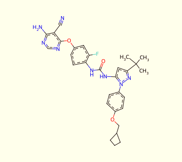 CC(C)(C)c1cc(NC(=O)Nc2ccc(Oc3ncnc(N)c3C#N)cc2F)n(-c2ccc(OCC3CCC3)cc2)n1